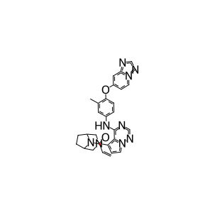 C=CC(=O)N1C2CCC1CN(c1ccn3ncnc(Nc4ccc(Oc5ccn6ncnc6c5)c(C)c4)c13)C2